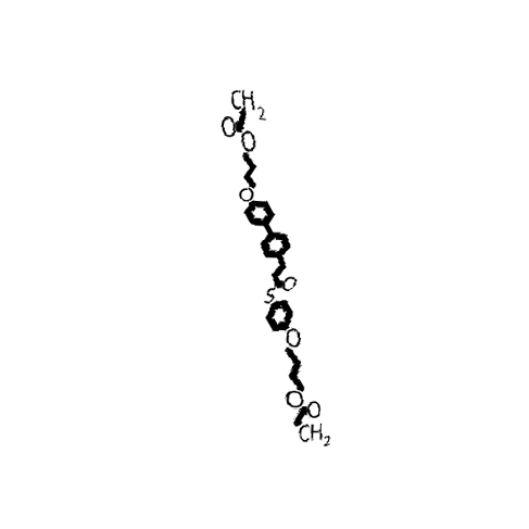 C=CC(=O)OCCCCOc1ccc(SC(=O)/C=C/c2ccc(-c3ccc(OCCCCOC(=O)C=C)cc3)cc2)cc1